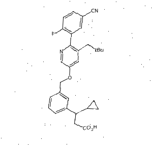 CC(C)(C)Cc1cc(OCc2cccc(C(CC(=O)O)C3CC3)c2)cnc1-c1cc(C#N)ccc1F